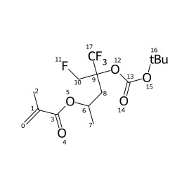 C=C(C)C(=O)OC(C)CC(CF)(OC(=O)OC(C)(C)C)C(F)(F)F